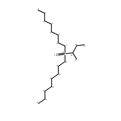 CCCCCCCCP(=O)(CCCCCCCC)C(C)CC